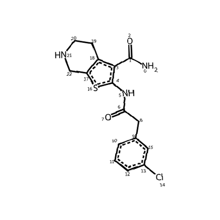 NC(=O)c1c(NC(=O)Cc2cccc(Cl)c2)sc2c1CCNC2